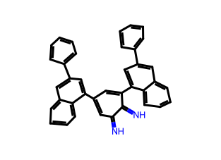 N=C1C=C(c2cc(-c3ccccc3)cc3ccccc23)C=C(c2cc(-c3ccccc3)cc3ccccc23)C1=N